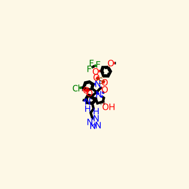 CNC(=O)[C@@H]1C[C@@H](O)C[N+]1(C)C1(c2cc(CCc3nnn[nH]3)ccc2OC)C(=O)N(S(=O)(=O)c2ccc(OC)cc2OC(F)(F)F)c2ccc(Cl)cc21